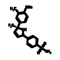 CSc1ccc([C@]2(C(F)(F)F)C=CN(c3ccc(S(N)(=O)=O)cc3)N2)cc1C